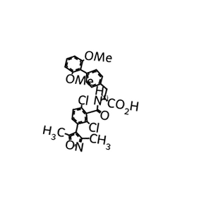 COc1cccc(OC)c1-c1ccc(C[C@H](NC(=O)c2c(Cl)ccc(-c3c(C)noc3C)c2Cl)C(=O)O)cc1